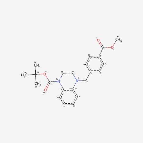 COC(=O)c1ccc(CN2CCN(C(=O)OC(C)(C)C)c3ccccc32)cc1